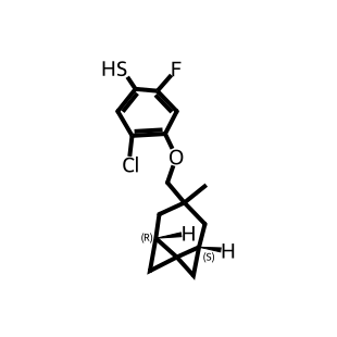 CC1(COc2cc(F)c(S)cc2Cl)C[C@@H]2CC23C[C@@H]3C1